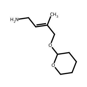 CC(=CCN)COC1CCCCO1